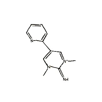 Cn1cc(-c2ccccn2)c[n+](C)c1=N